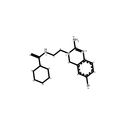 C=C(NCCN1Cc2cc(Br)ccc2N=C1N)C1CCCCC1